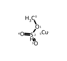 CO[SH](=O)=O.[Cu]